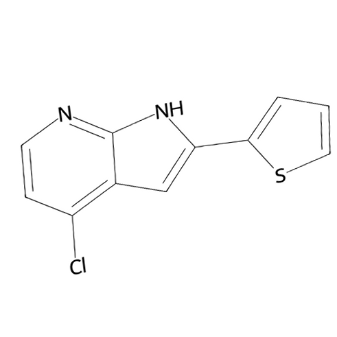 Clc1ccnc2[nH]c(-c3cccs3)cc12